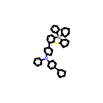 c1ccc(-c2ccc(N(c3ccccc3)c3ccc(-c4cccc5c4Sc4ccccc4[Si]5(c4ccccc4)c4ccccc4)cc3)cc2)cc1